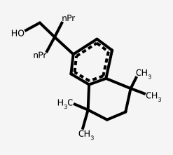 CCCC(CO)(CCC)c1ccc2c(c1)C(C)(C)CCC2(C)C